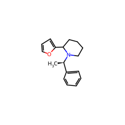 C[C@H](c1ccccc1)N1CCCCC1c1ccco1